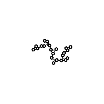 c1ccc(-n2c3ccc(-c4cccc(-n5c6ccccc6c6cc(-c7ccc8c9ccc%10ccccc%10c9n(-c9ccc%10ccc(-c%11ccc%12c%13c(cccc%11%13)-c%11ccccc%11-%12)cc%10c9)c8c7)ccc65)c4)cc3c3ccc(-c4ccc5c6ccc7ccccc7c6n(-c6ccc7cc(-c8ccc9c%10c(cccc8%10)-c8ccccc8-9)ccc7c6)c5c4)cc32)cc1